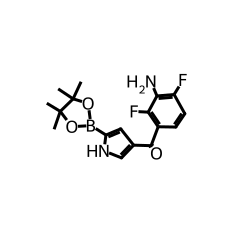 CC1(C)OB(c2cc(C(=O)c3ccc(F)c(N)c3F)c[nH]2)OC1(C)C